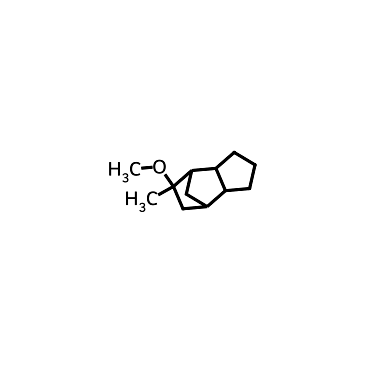 COC1(C)CC2CC1C1CCCC21